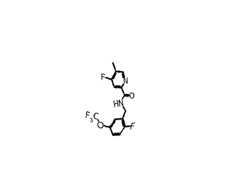 Cc1cnc(C(=O)NCc2cc(OC(F)(F)F)ccc2F)cc1F